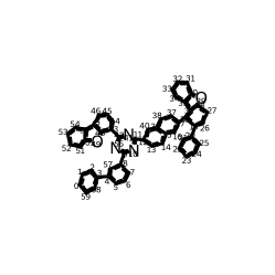 c1ccc(-c2cccc(-c3nc(-c4ccc5cc(-c6c(-c7ccccc7)ccc7oc8ccccc8c67)ccc5c4)nc(-c4cccc5c4oc4ccccc45)n3)c2)cc1